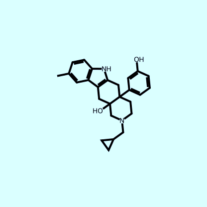 Cc1ccc2[nH]c3c(c2c1)CC1(O)CN(CC2CC2)CCC1(c1cccc(O)c1)C3